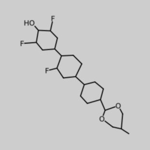 CC1COC(C2CCC(C3CCC(C4CC(F)C(O)C(F)C4)C(F)C3)CC2)OC1